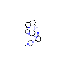 CN1CCN(c2cccc3nc(CN(C)[C@H]4CCCc5cccnc54)c(CN4CCCC4)n23)CC1